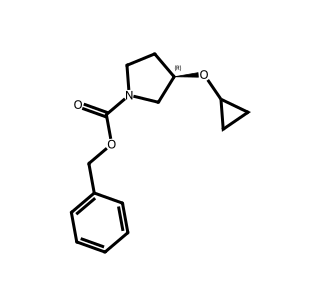 O=C(OCc1ccccc1)N1CC[C@@H](OC2CC2)C1